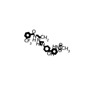 C=C(CNC(=O)c1cccc(C(F)(F)F)c1)NC1CN([C@H]2CC[C@@](O)(c3cccc(NS(C)(=O)=O)c3)CC2)C1